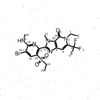 CCn1c(C(F)(F)F)cc2nc(-c3nc(NC)c(Br)cc3S(=O)(=O)CC)n(C)c2c1=O